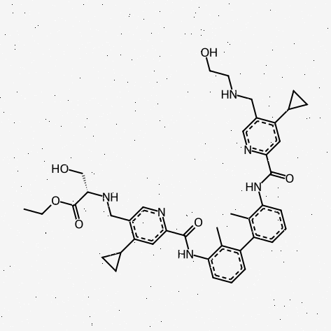 CCOC(=O)[C@H](CO)NCc1cnc(C(=O)Nc2cccc(-c3cccc(NC(=O)c4cc(C5CC5)c(CNCCO)cn4)c3C)c2C)cc1C1CC1